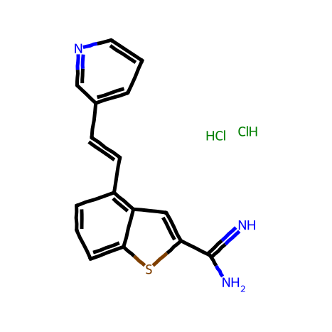 Cl.Cl.N=C(N)c1cc2c(/C=C/c3cccnc3)cccc2s1